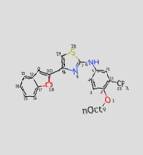 CCCCCCCCOc1ccc(Nc2nc(-c3cc4ccccc4o3)cs2)cc1C(F)(F)F